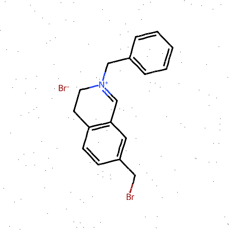 BrCc1ccc2c(c1)C=[N+](Cc1ccccc1)CC2.[Br-]